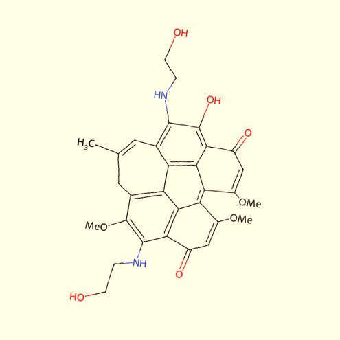 COc1c(NCCO)c2c(=O)cc(OC)c3c4c(OC)cc(=O)c5c(O)c(NCCO)c6c(c(c1CC(C)=C6)c23)c54